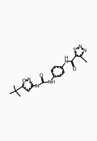 Cc1nnsc1C(=O)Nc1ccc(NC(=O)Nc2cc(C(C)(C)C)on2)cc1